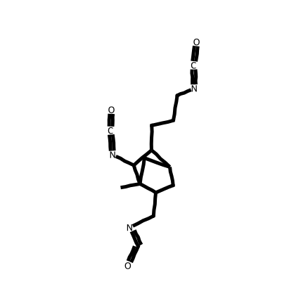 CC12CC(CC1CN=C=O)C(CCCN=C=O)C2N=C=O